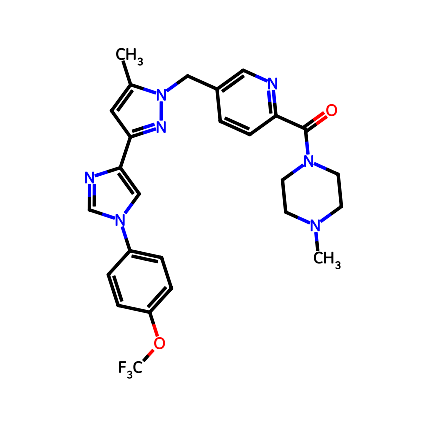 Cc1cc(-c2cn(-c3ccc(OC(F)(F)F)cc3)cn2)nn1Cc1ccc(C(=O)N2CCN(C)CC2)nc1